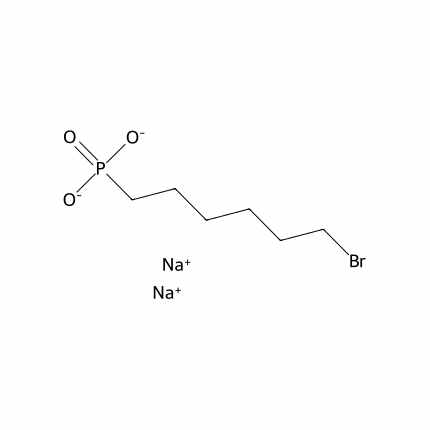 O=P([O-])([O-])CCCCCCBr.[Na+].[Na+]